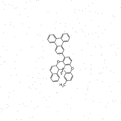 Cc1ccc2c(c1)P1(=S)c3c(ccc(-c4ccc5c6ccccc6c6ccccc6c5c4)c3OC3C=Cc4ccccc4C31)O2